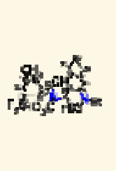 CCCCN(CC)c1cc2c(cc1CN(C(=O)O)C(C)c1cc(C)cc(C(F)(F)F)c1)CCC2